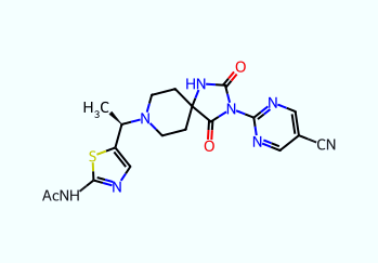 CC(=O)Nc1ncc([C@@H](C)N2CCC3(CC2)NC(=O)N(c2ncc(C#N)cn2)C3=O)s1